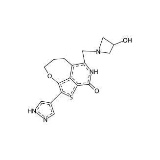 O=c1[nH]c(CN2CC(O)C2)c2c3c(c(-c4cn[nH]c4)sc13)OCCC2